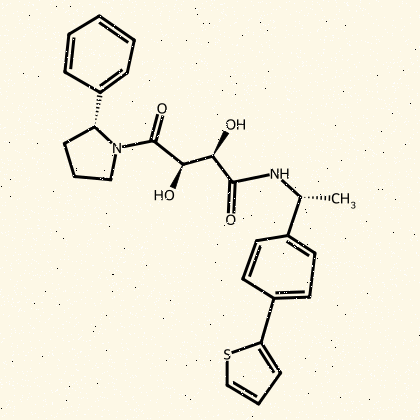 C[C@@H](NC(=O)[C@H](O)[C@@H](O)C(=O)N1CCC[C@@H]1c1ccccc1)c1ccc(-c2cccs2)cc1